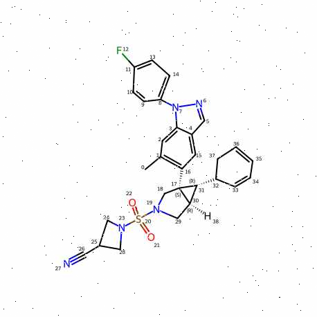 Cc1cc2c(cnn2-c2ccc(F)cc2)cc1[C@@]12CN(S(=O)(=O)N3CC(C#N)C3)C[C@@H]1[C@H]2C1C=CC=CC1